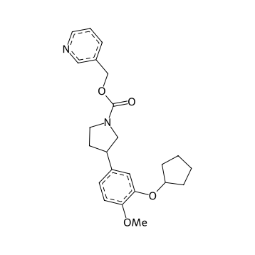 COc1ccc(C2CCN(C(=O)OCc3cccnc3)C2)cc1OC1CCCC1